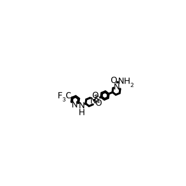 NC(=O)N1CCCC(c2ccc(S(=O)(=O)N3CCC(Nc4ccc(C(F)(F)F)cn4)CC3)cc2)C1